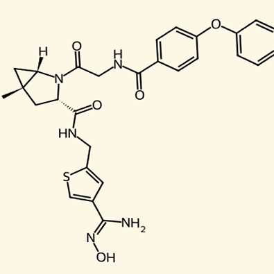 C[C@@]12C[C@@H]1N(C(=O)CNC(=O)c1ccc(Oc3ccccc3)cc1)[C@H](C(=O)NCc1cc(/C(N)=N/O)cs1)C2